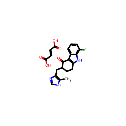 Cc1[nH]cnc1CC1CCc2[nH]c3c(F)cccc3c2C1=O.O=C(O)C=CC(=O)O